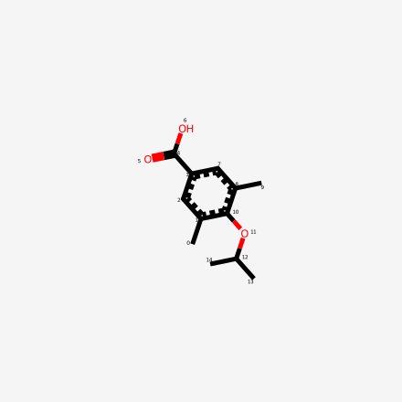 Cc1cc(C(=O)O)cc(C)c1OC(C)C